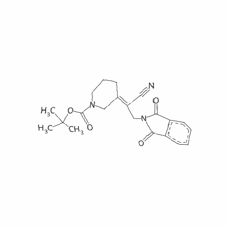 CC(C)(C)OC(=O)N1CCC/C(=C(\C#N)CN2C(=O)c3ccccc3C2=O)C1